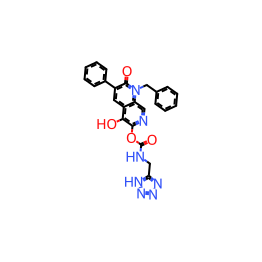 O=C(NCc1nnn[nH]1)Oc1ncc2c(cc(-c3ccccc3)c(=O)n2Cc2ccccc2)c1O